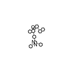 c1ccc(-c2cc(-c3ccc(-c4cc5c(oc6cccc(-c7cccc8ccccc78)c65)c5ccccc45)cc3)nc(-c3ccccc3)n2)cc1